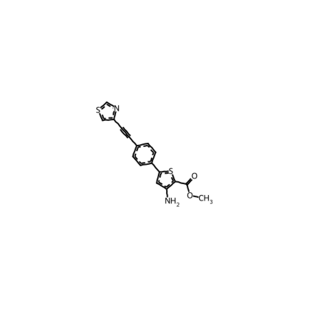 COC(=O)c1sc(-c2ccc(C#Cc3cscn3)cc2)cc1N